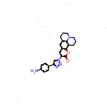 Nc1ccc(-c2cn(-c3cc4cc5c6c(c4oc3=O)CCCN6CCC5)nn2)cc1